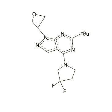 CC(C)(C)c1nc(N2CCC(F)(F)C2)c2cnn(C3COC3)c2n1